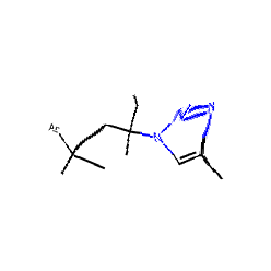 CC(=O)C(C)(C)CC(C)(C)n1cc(C)nn1